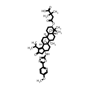 COc1ccc(-c2nnc(N[C@@]34CC[C@]5(C)[C@H](CC[C@@H]6[C@@]7(C)CC[C@H](OC(=O)CC(C)(C)C(=O)O)C(C)(C)[C@@H]7CC[C@]65C)C3=C(C(C)C)C(=O)C4)o2)nc1